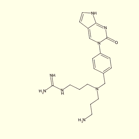 N=C(N)NCCCN(CCCN)Cc1ccc(-n2cc3cc[nH]c3nc2=O)cc1